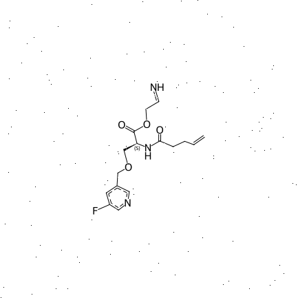 C=CCCC(=O)N[C@@H](COCc1cncc(F)c1)C(=O)OCC=N